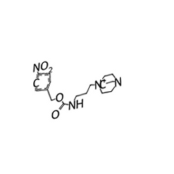 O=C(NCCC[N+]12CCN(CC1)CC2)OCc1ccc([N+](=O)[O-])cc1